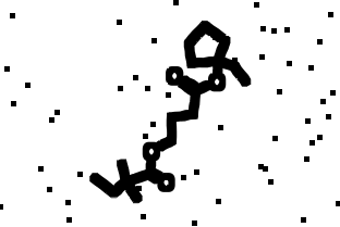 CCC1(OC(=O)CCCOC(=O)C(C)(C)CC)CCCC1